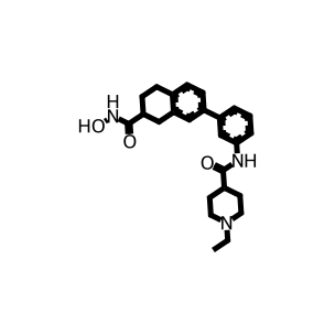 CCN1CCC(C(=O)Nc2cccc(-c3ccc4c(c3)CC(C(=O)NO)CC4)c2)CC1